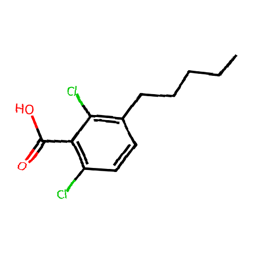 CCCCCc1ccc(Cl)c(C(=O)O)c1Cl